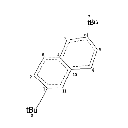 CC(C)(C)c1ccc2cc(C(C)(C)C)c[c]c2c1